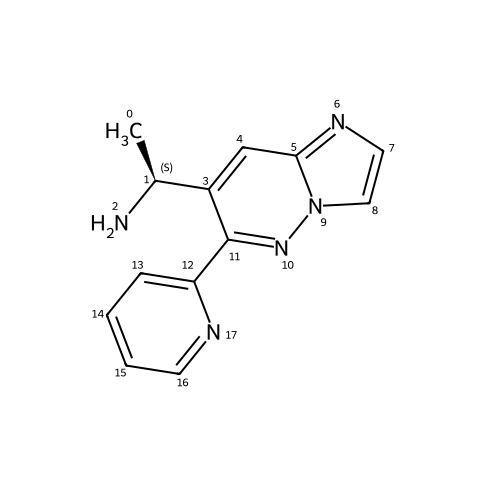 C[C@H](N)c1cc2nccn2nc1-c1ccccn1